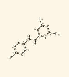 Fc1ccc(NNc2cc(F)cc(F)c2)cc1